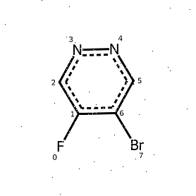 Fc1cnn[c]c1Br